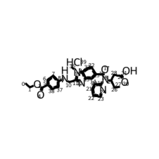 CCOC(=O)c1ccc(NCc2nc3cc(C(=O)N(c4ccccn4)C(CC)CC(=O)O)ccc3n2C)cc1.Cl